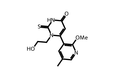 COc1ncc(C)cc1-c1cc(=O)[nH]c(=S)n1CCO